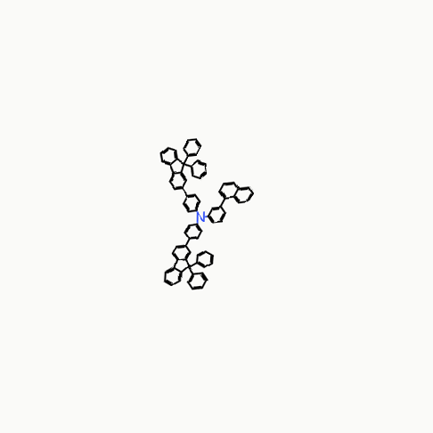 c1ccc(C2(c3ccccc3)c3ccccc3-c3ccc(-c4ccc(N(c5ccc(-c6ccc7c(c6)C(c6ccccc6)(c6ccccc6)c6ccccc6-7)cc5)c5cccc(-c6cccc7ccccc67)c5)cc4)cc32)cc1